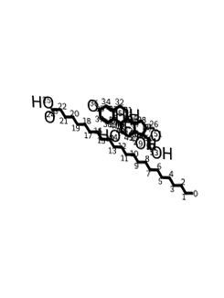 CCCCCCCCCCCCCCCCCCCCCCCC(=O)O.C[C@@H]1C[C@H]2[C@@H]3CCC4=CC(=O)C=C[C@]4(C)[C@@]3(F)[C@@H](O)C[C@]2(C)[C@@]1(O)C(=O)CO